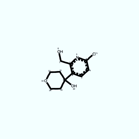 OCc1nc(Cl)ccc1C1(O)CCOCC1